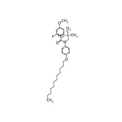 CCCCCCCCCCCCOc1ccc(N(CC(C)(C)C)C(=O)c2ccc(OC)cc2F)cc1